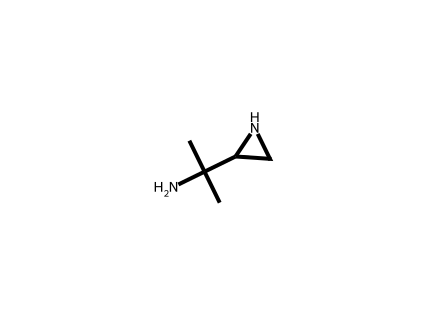 CC(C)(N)C1CN1